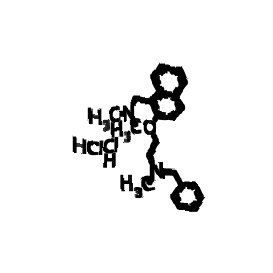 CN(C)Cc1c(OCCN(C)Cc2ccccc2)ccc2ccccc12.Cl.Cl